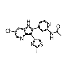 CC(=O)Nc1cc(-c2[nH]c3cc(Cl)cnc3c2-c2csc(C)n2)ccn1